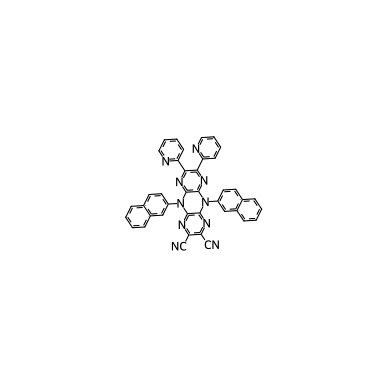 N#Cc1nc2c(nc1C#N)N(c1ccc3ccccc3c1)c1nc(-c3ccccn3)c(-c3ccccn3)nc1N2c1ccc2ccccc2c1